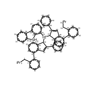 CC(C)Cc1ccccc1-c1cccc2c1C=C(c1ccccc1)[CH]2[Hf]([c]1cccc2c1[SiH2]c1ccccc1-2)[CH]1C(c2ccccc2)=Cc2c(-c3ccccc3CC(C)C)cccc21